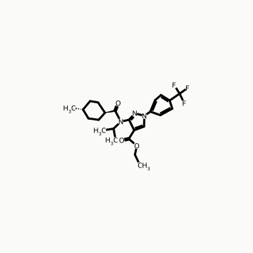 CCOC(=O)c1cn(-c2ccc(C(F)(F)F)cc2)nc1N(C(=O)[C@H]1CC[C@H](C)CC1)C(C)C